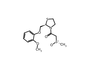 COc1ccccc1OC[C@H]1SCCN1C(=O)C[S@+](C)[O-]